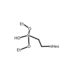 CCCCCCCC[Si](O)(OCC)OCC